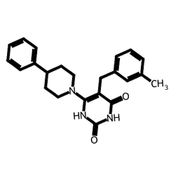 Cc1cccc(Cc2c(N3CCC(c4ccccc4)CC3)[nH]c(=O)[nH]c2=O)c1